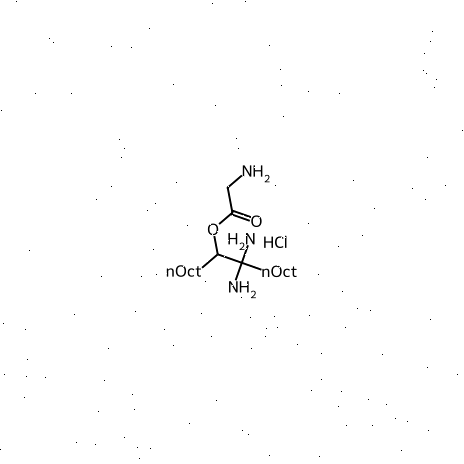 CCCCCCCCC(OC(=O)CN)C(N)(N)CCCCCCCC.Cl